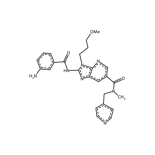 COCCCn1c(NC(=O)c2cccc(N)c2)nc2cc(C(=O)N(C)Cc3ccncc3)cnc21